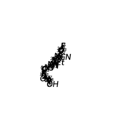 CCc1nc2sc(N3CCCC(N(C)CC(=O)N4CCC(O)C4)C3)nn2c1N(C)c1nc(-c2ccc(F)cc2)c(C#N)s1